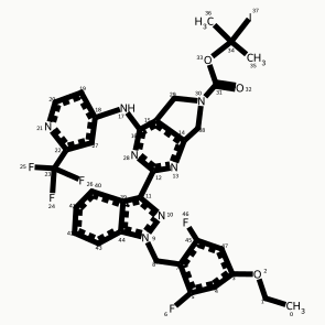 CCOc1cc(F)c(Cn2nc(-c3nc4c(c(Nc5ccnc(C(F)(F)F)c5)n3)CN(C(=O)OC(C)(C)I)C4)c3ccccc32)c(F)c1